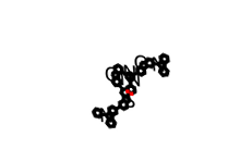 c1ccc(-c2nc(-c3ccc4c(c3)oc3ccc(-n5c6ccccc6c6ccccc65)cc34)nc(-c3cccc4oc5ccc(-c6ccc7sc8ccc(-c9ccc%10c(c9)c9ccccc9n%10-c9ccccc9)cc8c7c6)cc5c34)n2)cc1